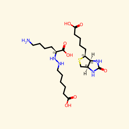 NCCCC[C@H](NNCCCCCC(=O)O)C(=O)O.O=C(O)CCCC[C@@H]1SC[C@@H]2NC(=O)N[C@@H]21